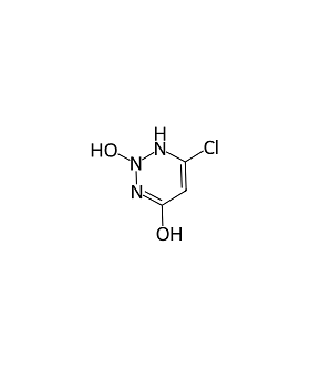 OC1=NN(O)NC(Cl)=C1